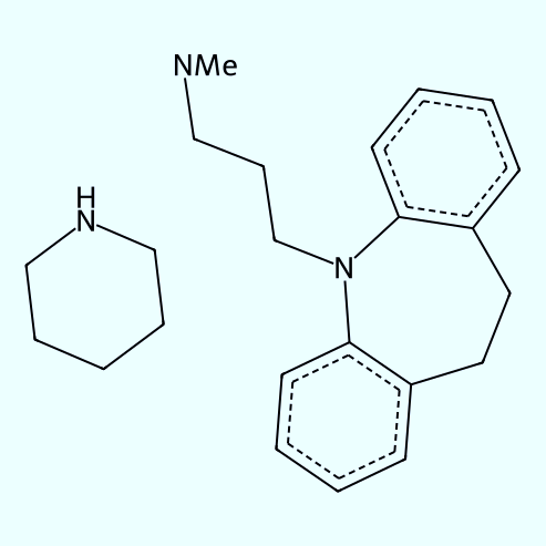 C1CCNCC1.CNCCCN1c2ccccc2CCc2ccccc21